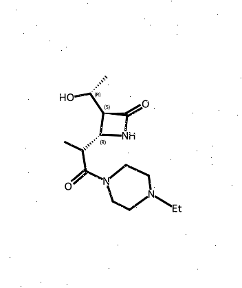 CCN1CCN(C(=O)C(C)[C@H]2NC(=O)[C@@H]2[C@@H](C)O)CC1